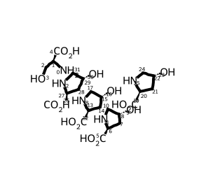 N[C@@H](CO)C(=O)O.O=C(O)[C@@H]1C[C@@H](O)CN1.O=C(O)[C@@H]1C[C@@H](O)CN1.O=C(O)[C@@H]1C[C@@H](O)CN1.O=C(O)[C@@H]1C[C@@H](O)CN1